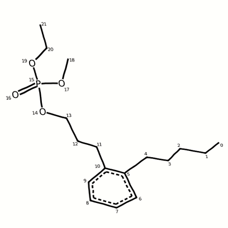 CCCCCc1ccccc1CCCOP(=O)(OC)OCC